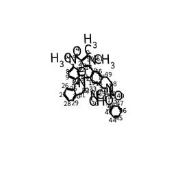 Cc1c(C(=O)N(C)c2ccccc2)cc(-c2cc3c(cc2C(=O)N2Cc4ccccc4C[C@H]2CN(C)C)CN(C(=O)Oc2ccccc2)CC3)n1C